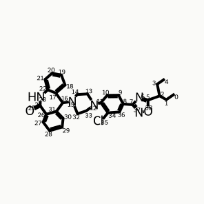 CCC(CC)c1nc(-c2ccc(N3CCN(C4c5ccccc5NC(=O)c5ccccc54)CC3)c(Cl)c2)no1